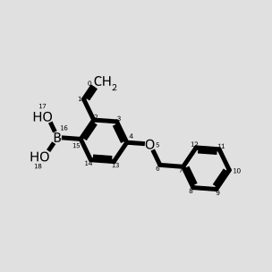 C=Cc1cc(OCc2ccccc2)ccc1B(O)O